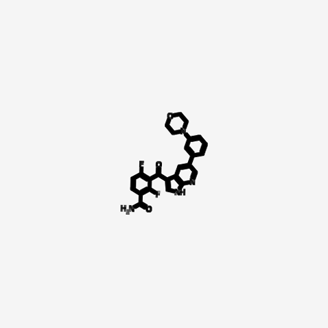 NC(=O)c1ccc(F)c(C(=O)c2c[nH]c3ncc(-c4cccc(N5CCOCC5)c4)cc23)c1F